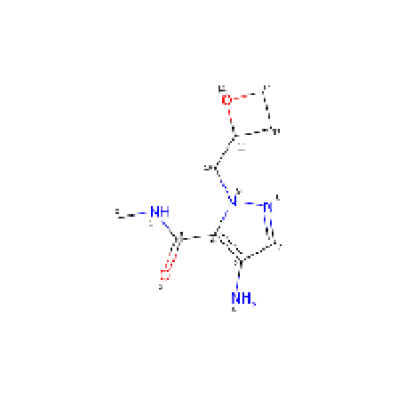 CNC(=O)c1c(N)cnn1CC1CCO1